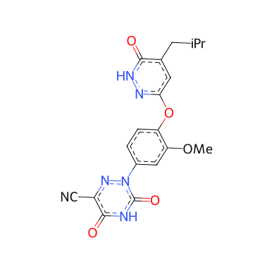 COc1cc(-n2nc(C#N)c(=O)[nH]c2=O)ccc1Oc1cc(CC(C)C)c(=O)[nH]n1